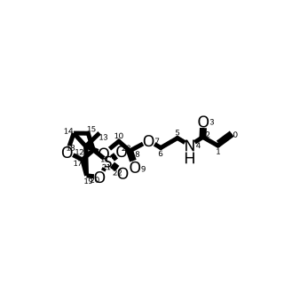 C=CC(=O)NCCOC(=O)COC1(C)C2CC3C(O2)C1OS3(=O)=O